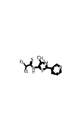 CCC(CC)C(=S)Nc1sc(-c2cccnc2)nc1C